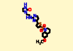 COc1ccc2c(c1)CCCN2S(=O)(=O)c1ccc(-c2ccnc(NCCN3CCNC3=O)n2)s1